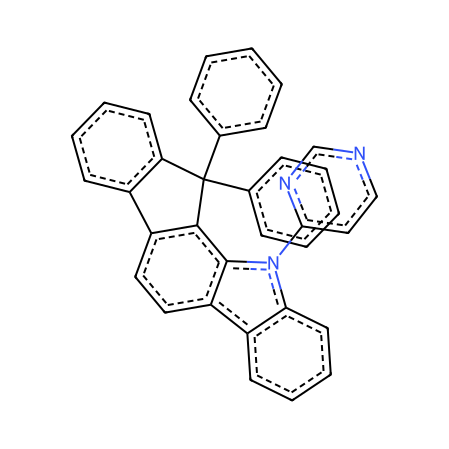 c1ccc(C2(c3ccccc3)c3ccccc3-c3ccc4c5ccccc5n(-c5ccncn5)c4c32)cc1